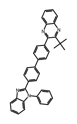 CC(C)(C)c1nc2ccccc2nc1-c1ccc(-c2ccc(-c3nc4ccccc4n3-c3ccccc3)cc2)cc1